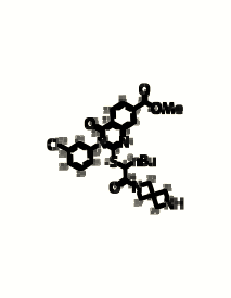 CCCCC(Sc1nc2cc(C(=O)OC)ccc2c(=O)n1-c1cccc(Cl)c1)C(=O)N1CC2(CNC2)C1